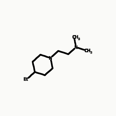 CCC1CCN(CCN(C)C)CC1